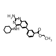 CCOC(=O)c1cccc(-c2ccc3nc(N)nc(NC4CCCCC4)c3c2)c1